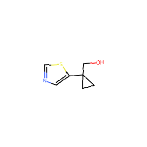 OCC1(c2cncs2)CC1